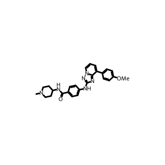 COc1ccc(-c2cccn3nc(Nc4ccc(C(=O)NC5CCN(C)CC5)cc4)nc23)cc1